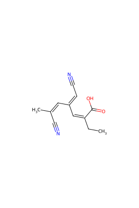 CCC(=CC(C=C(C)C#N)=CC#N)C(=O)O